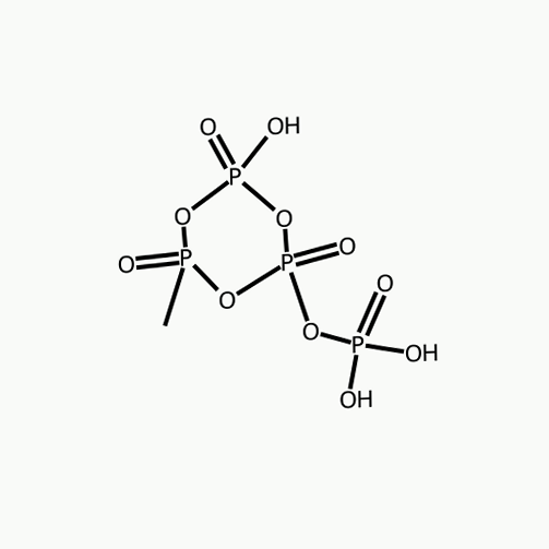 CP1(=O)OP(=O)(O)OP(=O)(OP(=O)(O)O)O1